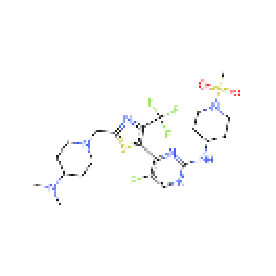 CN(C)C1CCN(Cc2nc(C(F)(F)F)c(-c3nc(NC4CCN(S(C)(=O)=O)CC4)ncc3F)s2)CC1